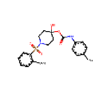 COc1ccccc1S(=O)(=O)N1CCC(O)(OC(=O)Nc2ccc(C(C)(C)C)cc2)CC1